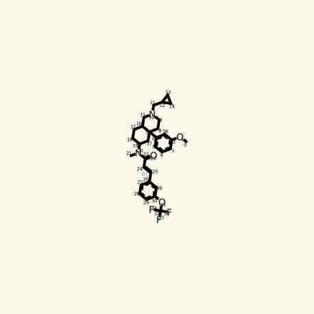 COc1cccc(C23CCN(CC4CC4)CC2CCC(N(C)C(=O)/C=C/c2cccc(OC(F)(F)F)c2)C3)c1